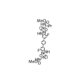 COC(=O)NCC(=O)N1CCC[C@H]1c1nc2c(F)cc(-c3ccc(-c4cc(F)c5nc([C@@H]6CCCN6C(=O)C(NC(=O)OC)C(C)C)[nH]c5c4)cc3)cc2[nH]1